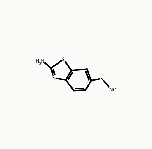 [C-]#[N+]Sc1ccc2nc(N)sc2c1